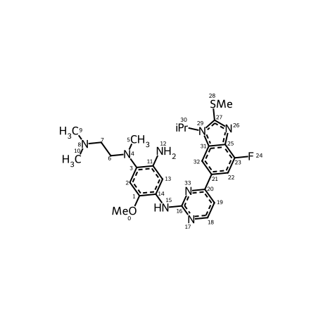 COc1cc(N(C)CCN(C)C)c(N)cc1Nc1nccc(-c2cc(F)c3nc(SC)n(C(C)C)c3c2)n1